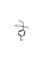 CCOC(C)(C(=O)O)c1ccc(O)cc1